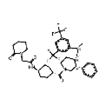 C[C@@H](O[C@H]1CCN(C(=O)[C@H]2CC[C@H](NC(=O)CN3CCCCC3=O)CC2)C[C@H]1c1ccccc1)c1cc(C(F)(F)F)cc(C(F)(F)F)c1